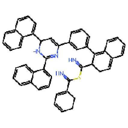 N=C(SC(=N)C1CC=c2ccccc2=C1c1cccc(C2=CC(c3cccc4ccccc34)NC(c3cccc4ccccc34)=N2)c1)C1=CC=CCC1